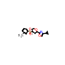 C[C@]1(S(=O)(=O)c2cccc(C(F)(F)F)c2)CCOC(c2nc(C3CC3)co2)C1